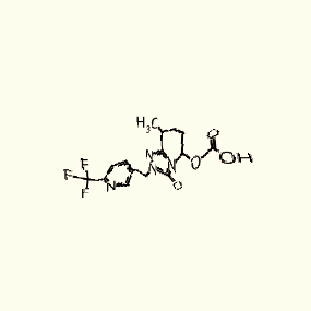 CC1CCC(OC(=O)O)n2c1nn(Cc1ccc(C(F)(F)F)nc1)c2=O